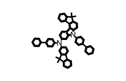 CC1(C)c2ccccc2-c2ccc(N(c3ccc(-c4ccccc4)cc3)c3ccc4c5c6c(ccc5n(-c5ccc(-c7ccccc7)cc5)c4c3)C(C)(C)c3ccccc3-6)cc21